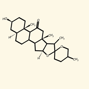 CC1CCC2(OC1)O[C@H]1CC3C4CC[C@H]5C[C@@H](O)CC[C@]5(C)C4C(=O)C[C@]3(C)C1C2C